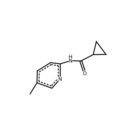 Cc1ccc(NC(=O)C2CC2)nc1